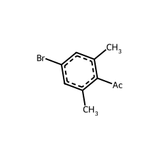 CC(=O)c1c(C)cc(Br)cc1C